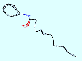 CCCCCCCCCCCCCCCCCCC(=O)Nc1ccccc1